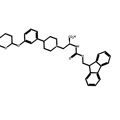 O=C(N[C@@H](CN1CCC(c2cccc(OC3CCCCO3)c2)CC1)C(=O)O)OCC1c2ccccc2-c2ccccc21